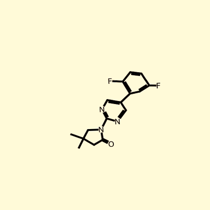 CC1(C)CC(=O)N(c2ncc(-c3cc(F)ccc3F)cn2)C1